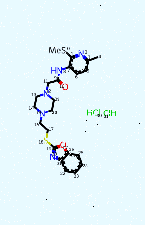 CSc1nc(C)ccc1NC(=O)CN1CCN(CCSc2nc3ccccc3o2)CC1.Cl.Cl